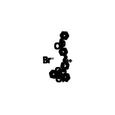 C[N+]1(CCc2ccc(C(=O)OCc3ccccc3)cc2)CCC(OC(=O)C(O)(c2ccccc2)c2ccccc2)CC1.[Br-]